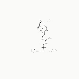 COC(OC)C(C)(C)C(=O)C(C)C(O)C(C)CCCC(C)=CCC(OC(C)=O)C(C)=Cc1csc(C)n1